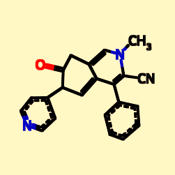 CN1C=C2CC(=O)C(c3ccncc3)C=C2C(c2ccccc2)=C1C#N